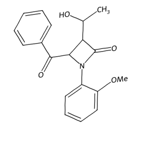 COc1ccccc1N1C(=O)C(C(C)O)C1C(=O)c1ccccc1